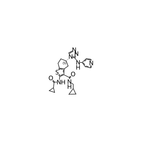 O=C(NCC1CC1)c1c(NC(=O)C2CC2)sc2c1C[C@@H](n1cnnc1Nc1ccncc1)CC2